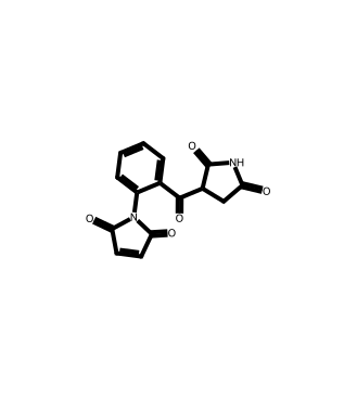 O=C1CC(C(=O)c2ccccc2N2C(=O)C=CC2=O)C(=O)N1